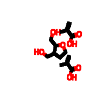 C=C(C)C(=O)O.C=C(C)C(=O)O.OCC1CCOC1CO